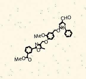 COC(=O)c1cccc(-c2nc(COc3ccc(CON4C=C(C=O)CN4c4ccccc4)cc3OC)c(C)o2)c1